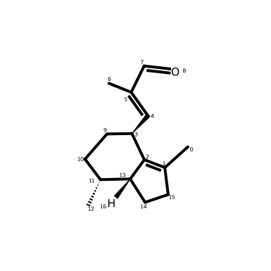 CC1=C2[C@H](/C=C(\C)C=O)CC[C@@H](C)[C@H]2CC1